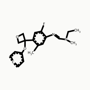 CCN(C)C=Nc1cc(C)c(C2(Oc3ccccc3)COC2)cc1F